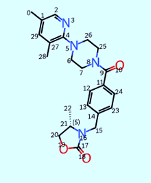 Cc1cnc(N2CCN(C(=O)c3ccc(CN4C(=O)OC[C@@H]4C)cc3)CC2)c(C)c1